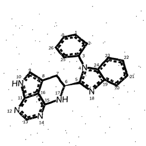 c1ccc(-n2c([C@@H]3Cc4c[nH]c5ncnc(c45)N3)nc3ccccc32)cc1